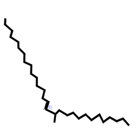 CCCCCCCCCCCCCC/C=[C]/C(C)CCCCCCCCCCCC